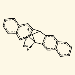 CC(C)(C)O[C@H]1C2c3cc4ccccc4cc3[C@H]1c1cc3ccccc3cc12